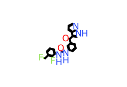 O=C(Nc1cccc(C(=O)c2c[nH]c3ncccc23)c1)Nc1cccc(CF)c1F